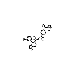 O=C(CCC(=O)N1CCc2sccc2C1c1cccc(F)c1)N1CCN(C(=O)c2ccco2)CC1